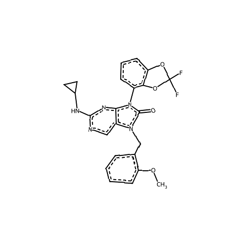 COc1ccccc1Cn1c(=O)n(-c2cccc3c2OC(F)(F)O3)c2nc(NC3CC3)ncc21